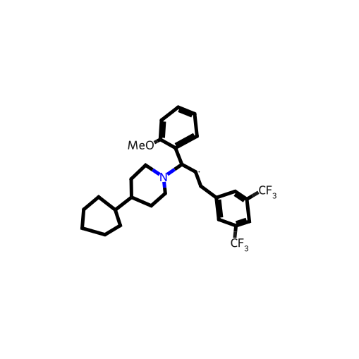 COc1ccccc1C([CH]Cc1cc(C(F)(F)F)cc(C(F)(F)F)c1)N1CCC(C2CCCCC2)CC1